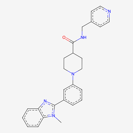 Cn1c(-c2cccc(N3CCC(C(=O)NCc4ccncc4)CC3)c2)nc2ccccc21